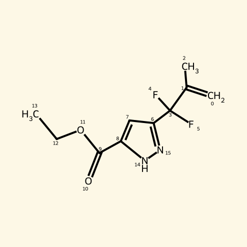 C=C(C)C(F)(F)c1cc(C(=O)OCC)[nH]n1